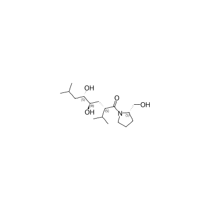 CC(C)C[C@H](O)[C@H](O)C[C@H](C(=O)N1CCC[C@H]1CO)C(C)C